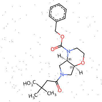 CC(C)(CC(=O)N1C[C@@H]2OCCN(C(=O)OCc3ccccc3)[C@@H]2C1)C(=O)O